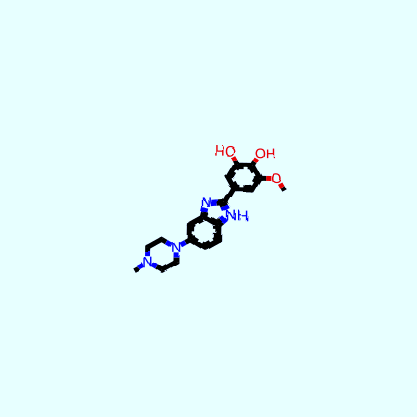 COc1cc(-c2nc3cc(N4CCN(C)CC4)ccc3[nH]2)cc(O)c1O